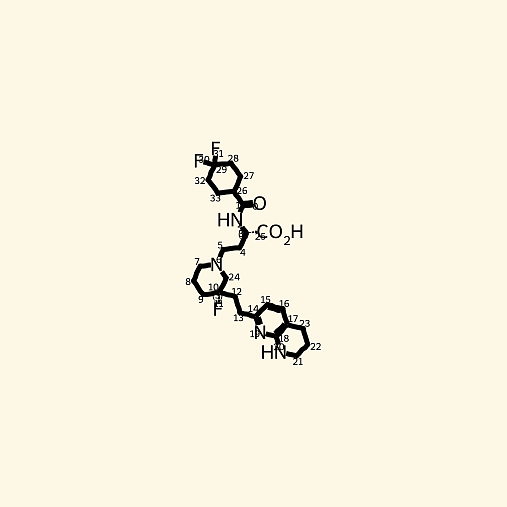 O=C(N[C@@H](CCN1CCC[C@](F)(CCc2ccc3c(n2)NCCC3)C1)C(=O)O)C1CCC(F)(F)CC1